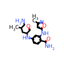 Cc1cc(Nc2cc(NC(C=O)CC(C)CN)ccc2C(N)=O)on1